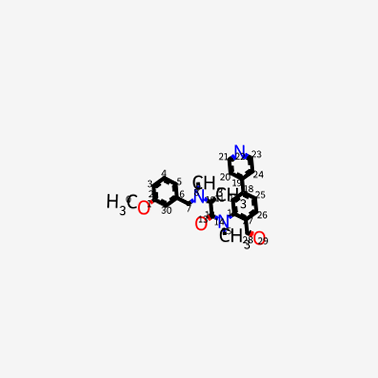 COc1cccc(CN(C)C(C)C(=O)N(C)c2cc(-c3ccncc3)ccc2C=O)c1